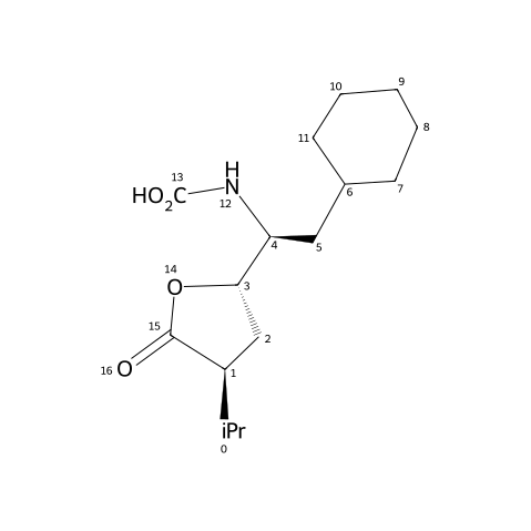 CC(C)[C@@H]1C[C@@H]([C@H](CC2CCCCC2)NC(=O)O)OC1=O